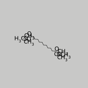 C[Si](C)(C)OC(=O)CCCCCCCCCCC(=O)O[Si](C)(C)C